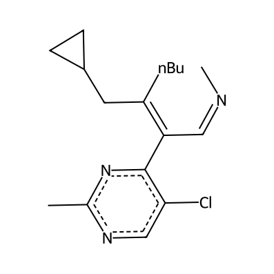 CCCC/C(CC1CC1)=C(\C=N/C)c1nc(C)ncc1Cl